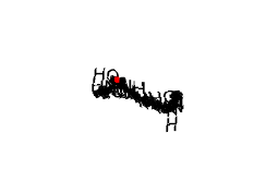 C#Cc1ccc(CNC(=O)[C@@H]2C[C@@H](O)CN2C(=O)[C@@H](NC(=O)N2CC3(CC(N4CCN([C@H]5CC[C@H](N6CCc7[nH]c8nnc(-c9ccccc9O)cc8c7[C@H]6C)CC5)CC4)C3)C2)C(C)(C)C)cc1